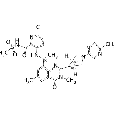 Cc1cc([C@@H](C)Nc2ccc(Cl)nc2C(=O)NS(C)(=O)=O)c2nc(C3[C@H]4CN(c5cnc(C)cn5)C[C@@H]34)n(C)c(=O)c2c1